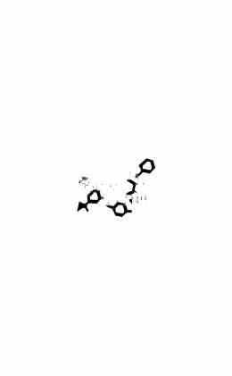 COc1c(NC(=O)c2ccc(C)c(N3C=C(c4cnc(-c5ccccc5)n4C)NN3)c2)cc(C2(C)CC2)cc1NS(C)(=O)=O